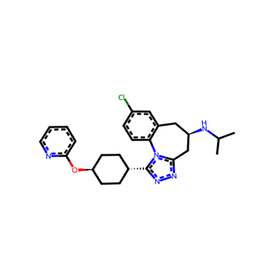 CC(C)N[C@@H]1Cc2cc(Cl)ccc2-n2c(nnc2[C@H]2CC[C@H](Oc3ccccn3)CC2)C1